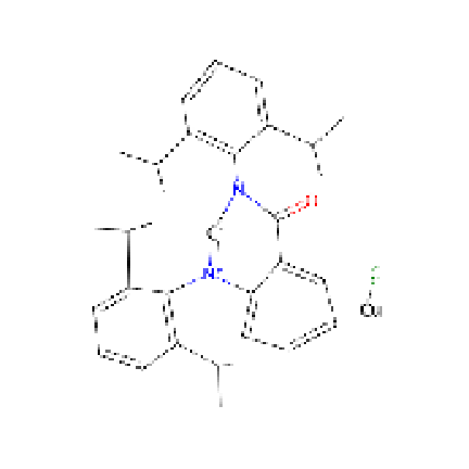 CC(C)c1cccc(C(C)C)c1-n1[c-][n+](-c2c(C(C)C)cccc2C(C)C)c2ccccc2c1=O.[Cl][Cu]